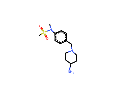 CN(c1ccc(CN2CCC(N)CC2)cc1)S(C)(=O)=O